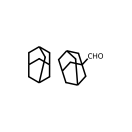 C1C2CC3CC1CC(C2)C3.O=CC12CC3CC(CC(C3)C1)C2